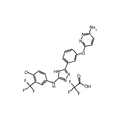 Nc1ccc(Oc2cccc(-c3nnc(Nc4ccc(Cl)c(C(F)(F)F)c4)[nH]3)c2)nn1.O=C(O)C(F)(F)F